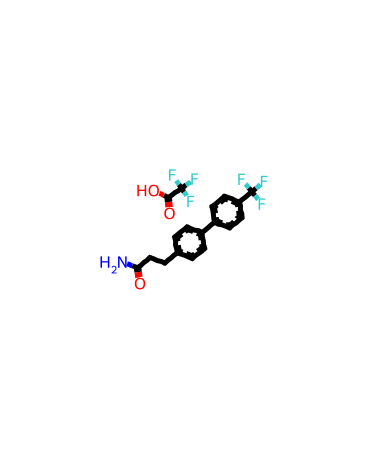 NC(=O)CCc1ccc(-c2ccc(C(F)(F)F)cc2)cc1.O=C(O)C(F)(F)F